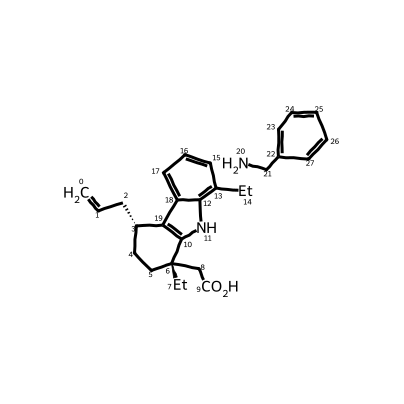 C=CC[C@H]1CC[C@@](CC)(CC(=O)O)c2[nH]c3c(CC)cccc3c21.NCc1ccccc1